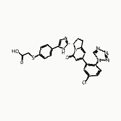 O=C(O)CSc1ccc(-c2cnc([C@@H]3CCc4cc(-c5cc(Cl)ccc5-n5cnnn5)cc(=O)n43)[nH]2)cc1